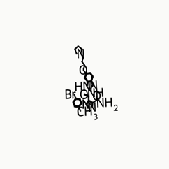 Cc1ccc(Br)cc1-n1cnc(C(N)=O)c1C(=O)Nc1nc2ccc(OCCCN3CCCC3)cc2[nH]1